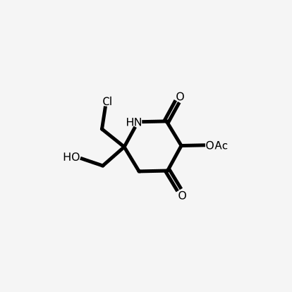 CC(=O)OC1C(=O)CC(CO)(CCl)NC1=O